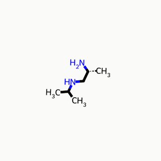 CC(C)NC[C@@H](C)N